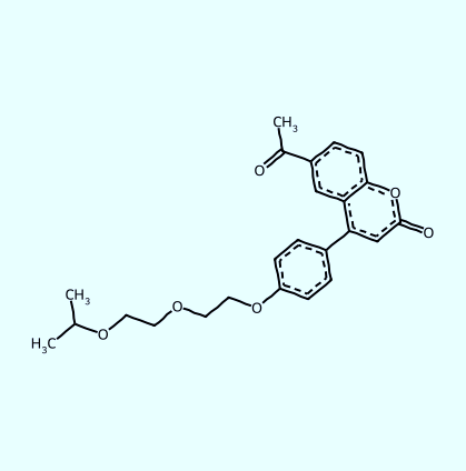 CC(=O)c1ccc2oc(=O)cc(-c3ccc(OCCOCCOC(C)C)cc3)c2c1